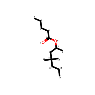 CCCCC(=O)OC(C)CC(C)(C)CCC